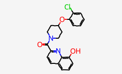 O=C(c1ccc2cccc(O)c2n1)N1CCC(Oc2ccccc2Cl)CC1